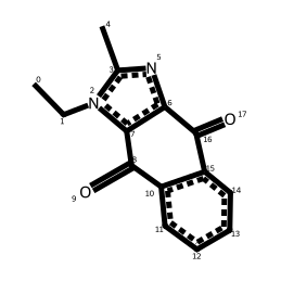 CCn1c(C)nc2c1C(=O)c1ccccc1C2=O